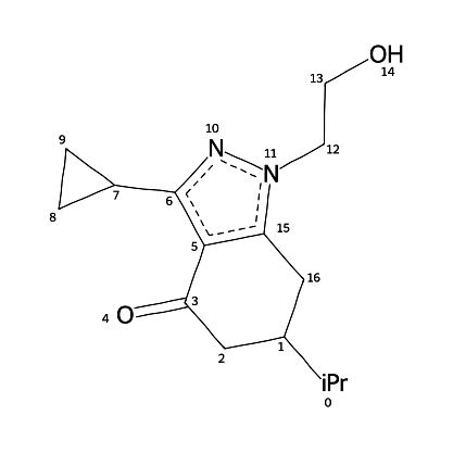 CC(C)C1CC(=O)c2c(C3CC3)nn(CCO)c2C1